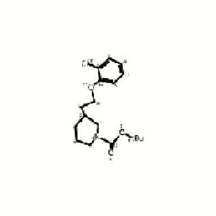 CC(C)(C)OC(=O)N1CCCC(CCOc2ccccc2Cl)C1